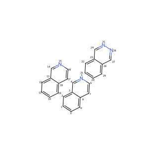 c1ccc2cnccc2c1.c1ccc2cnccc2c1.c1ccc2cnncc2c1